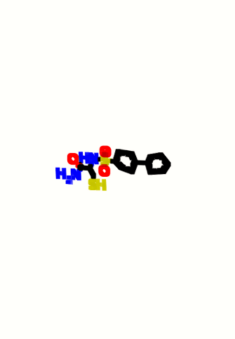 NC(=O)C(CS)NS(=O)(=O)c1ccc(-c2ccccc2)cc1